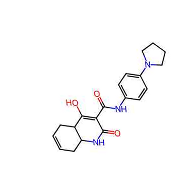 O=C(Nc1ccc(N2CCCC2)cc1)C1=C(O)C2CC=CCC2NC1=O